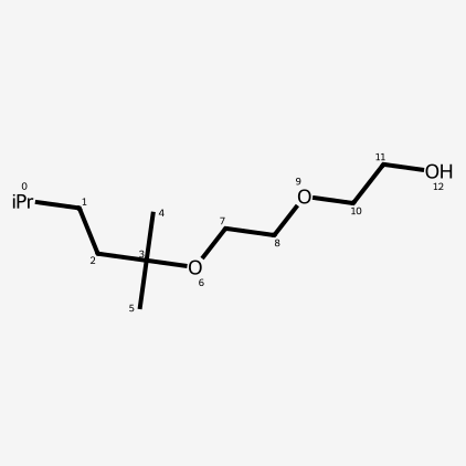 CC(C)CCC(C)(C)OCCOCCO